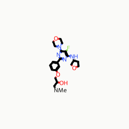 CNCC(O)COc1cccc(-c2nc(N[C@@H]3CCOC3)c(F)c(N3CCOCC3)n2)c1